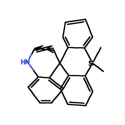 C[Si]1(C)c2ccccc2C2(c3ccccc3Nc3ccccc32)c2ccccc21